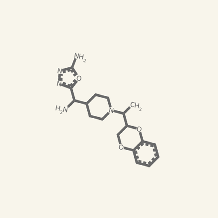 CC(C1COc2ccccc2O1)N1CCC(C(N)c2nnc(N)o2)CC1